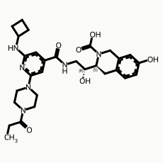 CCC(=O)N1CCN(c2cc(C(=O)NC[C@@H](O)[C@@H]3Cc4ccc(O)cc4CN3C(=O)O)cc(NC3CCC3)n2)CC1